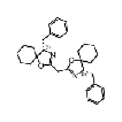 c1ccc(C[C@@H]2N=C(CC3=N[C@@H](Cc4ccccc4)C4(CCCCC4)O3)OC23CCCCC3)cc1